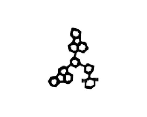 C1=CNC(c2cccc(-c3cc(-c4ccc5c6c(cccc46)-c4ccccc4-5)cc(-c4ccc5c6c(cccc46)-c4ccccc4-5)c3)c2)NC1